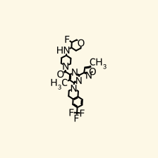 Cc1cc(-c2nc(C(=O)N3CCC(NC4CCOCC4F)CC3)c(C)c(N3CCc4cc(C(F)(F)F)ccc4C3)n2)no1